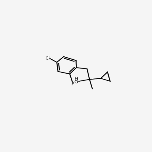 CC(O)(Cc1ccc(Cl)cc1F)C1CC1